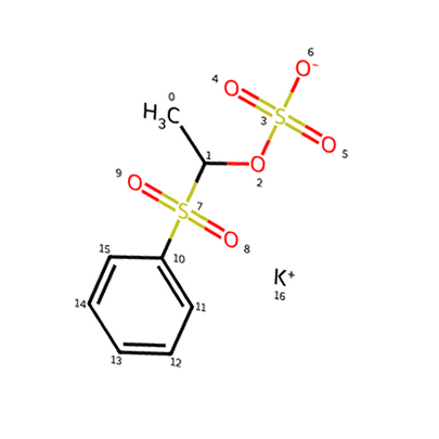 CC(OS(=O)(=O)[O-])S(=O)(=O)c1ccccc1.[K+]